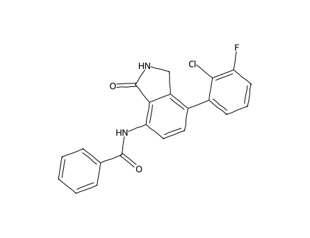 O=C(Nc1ccc(-c2cccc(F)c2Cl)c2c1C(=O)NC2)c1ccccc1